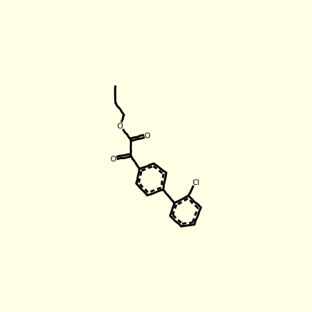 CCCOC(=O)C(=O)c1ccc(-c2ccccc2Cl)cc1